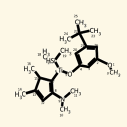 COc1cc([O][Ti]([C]2=C(N(C)C)C=C(C)C2C)[SiH](C)C)cc(C(C)(C)C)c1